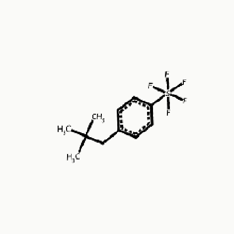 CC(C)(C)Cc1ccc(S(F)(F)(F)(F)F)cc1